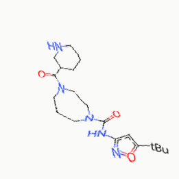 CC(C)(C)c1cc(NC(=O)N2CCCN(C(=O)C3CCCNC3)CC2)no1